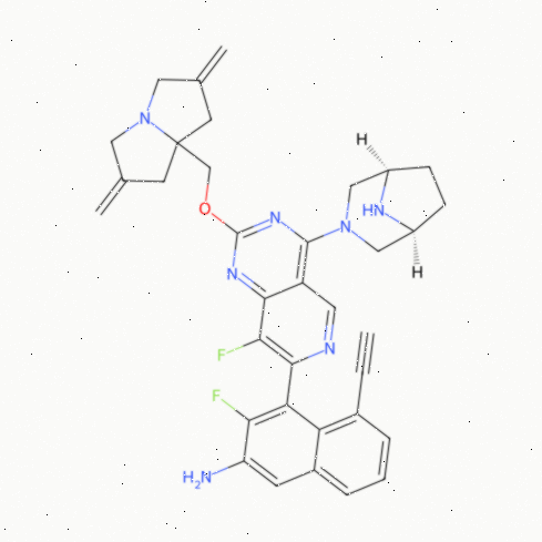 C#Cc1cccc2cc(N)c(F)c(-c3ncc4c(N5C[C@H]6CC[C@@H](C5)N6)nc(OCC56CC(=C)CN5CC(=C)C6)nc4c3F)c12